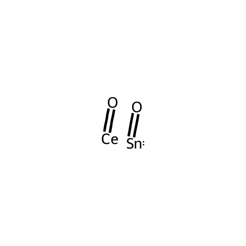 [O]=[Ce].[O]=[Sn]